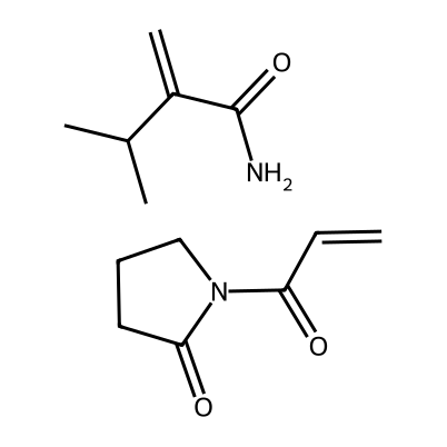 C=C(C(N)=O)C(C)C.C=CC(=O)N1CCCC1=O